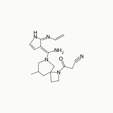 C=C/N=C1/NC=C/C1=C(/N)N1CC(C)CC2(CCN2C(=O)CC#N)C1